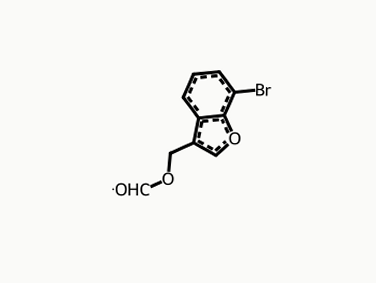 O=[C]OCc1coc2c(Br)cccc12